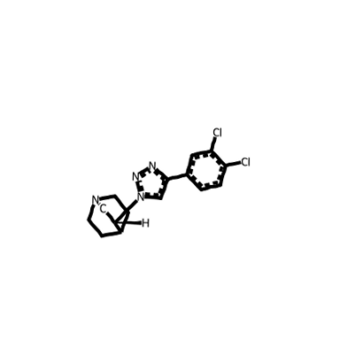 Clc1ccc(-c2cn([C@H]3CN4CCC3CC4)nn2)cc1Cl